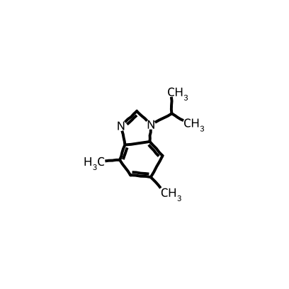 Cc1cc(C)c2ncn(C(C)C)c2c1